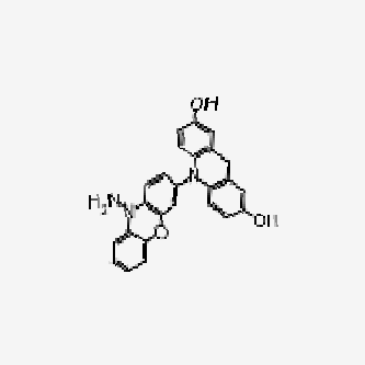 NN1c2ccccc2Oc2cc(N3c4ccc(O)cc4Cc4cc(O)ccc43)ccc21